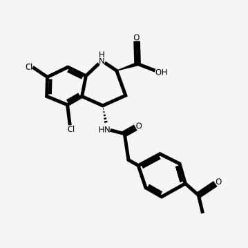 CC(=O)c1ccc(CC(=O)N[C@H]2C[C@H](C(=O)O)Nc3cc(Cl)cc(Cl)c32)cc1